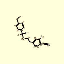 CCc1ccc(C(F)(F)OCCc2ccc(C#N)c(F)c2)cc1